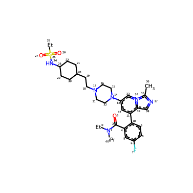 CCN(C(=O)c1cc(F)ccc1-c1cc(N2CCN(CCC3CCC(NS(=O)(=O)CC)CC3)CC2)cn2c(C)ncc12)C(C)C